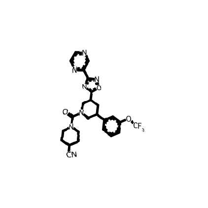 N#CC1CCN(C(=O)N2CC(c3cccc(OC(F)(F)F)c3)CC(c3nc(-c4cnccn4)no3)C2)CC1